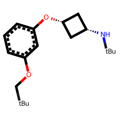 CC(C)(C)COc1cccc(O[C@H]2C[C@@H](NC(C)(C)C)C2)c1